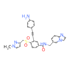 Cn1ccc(CS(=O)(=O)c2ccc(C(=O)NCc3ccc4nccn4c3)cc2C#Cc2ccc(N)cc2)n1